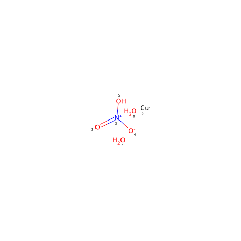 O.O.O=[N+]([O-])O.[Cu]